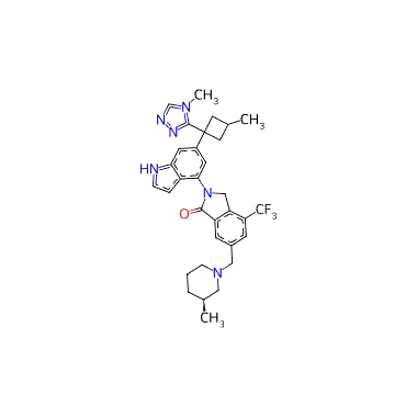 CC1CC(c2cc(N3Cc4c(cc(CN5CCC[C@H](C)C5)cc4C(F)(F)F)C3=O)c3cc[nH]c3c2)(c2nncn2C)C1